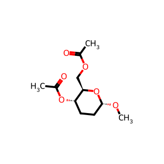 CO[C@@H]1CC[C@H](OC(C)=O)[C@@H](COC(C)=O)O1